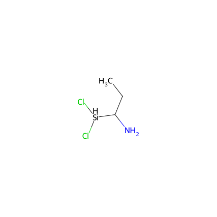 CCC(N)[SiH](Cl)Cl